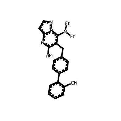 CCCc1nc2ccnn2c(N(CC)CC)c1Cc1ccc(-c2ccccc2C#N)cc1